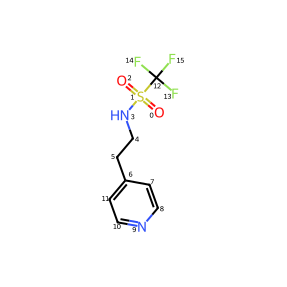 O=S(=O)(NCCc1ccncc1)C(F)(F)F